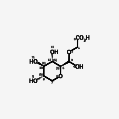 O=C(O)COC(O)[C@H]1O[CH][C@H](O)[C@@H](O)[C@@H]1O